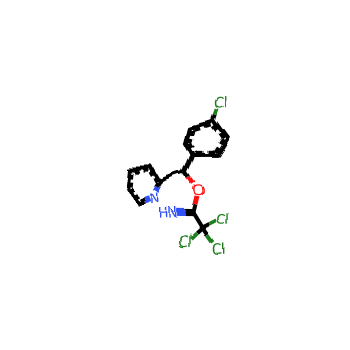 N=C(OC(c1ccc(Cl)cc1)c1ccccn1)C(Cl)(Cl)Cl